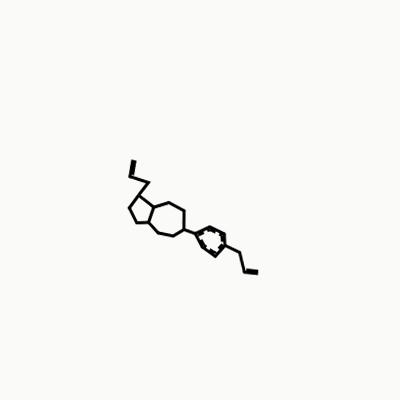 C=CCc1ccc(C2CCC3CCC(CC=C)C3CC2)cc1